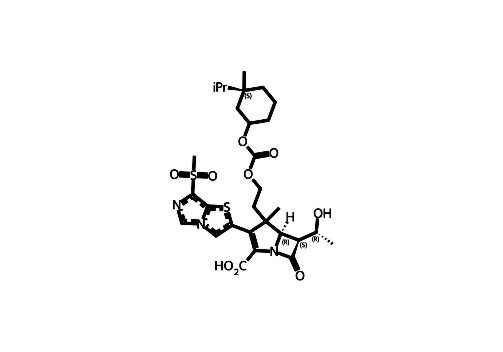 CC(C)[C@@]1(C)CCCC(OC(=O)OCCC2(C)C(c3cn4cnc(S(C)(=O)=O)c4s3)=C(C(=O)O)N3C(=O)[C@H]([C@@H](C)O)[C@@H]32)C1